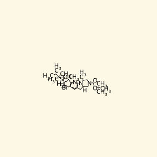 CC(C)C(C)(C)[SiH2]OC(C)(C)c1nc2c(cc1Br)C[C@@H]1CN(C(=O)OC(C)(C)C)C[C@@H](C)N21